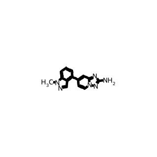 Cn1ncc2c(-c3ccn4nc(N)nc4c3)c[c]cc21